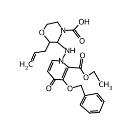 C=CCC1OCCN(C(=O)O)C1Nn1ccc(=O)c(OCc2ccccc2)c1C(=O)OCC